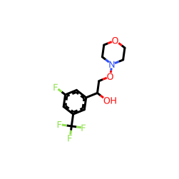 OC(CON1CCOCC1)c1cc(F)cc(C(F)(F)F)c1